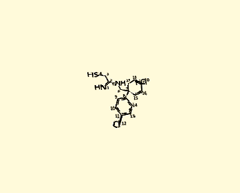 Cl.N=C(CS)NCC1(c2ccc(Cl)cc2)C=CC=CC1